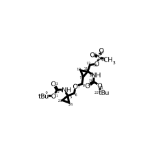 CC(C)(C)OC(=O)NC1(COCC2CC2(COS(C)(=O)=O)NC(=O)OC(C)(C)C)CC1